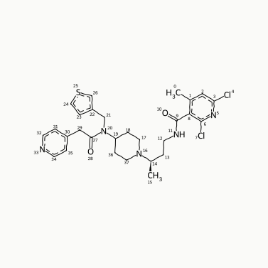 Cc1cc(Cl)nc(Cl)c1C(=O)NCC[C@@H](C)N1CCC(N(Cc2ccsc2)C(=O)Cc2ccncc2)CC1